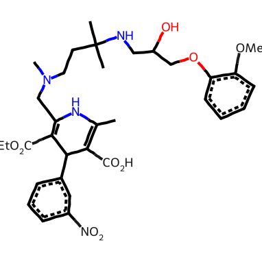 CCOC(=O)C1=C(CN(C)CCC(C)(C)NCC(O)COc2ccccc2OC)NC(C)=C(C(=O)O)C1c1cccc([N+](=O)[O-])c1